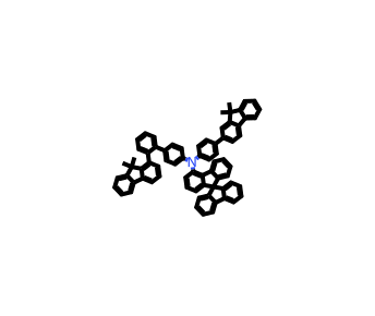 CC1(C)c2ccccc2-c2ccc(-c3ccc(N(c4ccc(-c5ccccc5-c5cccc6c5C(C)(C)c5ccccc5-6)cc4)c4cccc5c4-c4ccccc4C54c5ccccc5-c5ccccc54)cc3)cc21